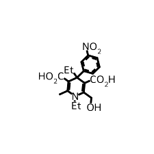 CCN1C(C)=C(C(=O)O)C(CC)(c2cccc([N+](=O)[O-])c2)C(C(=O)O)=C1CO